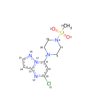 CS(=O)(=O)N1CCN(c2cc(Cl)nc3ccnn23)CC1